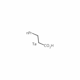 CCCCCC(=O)O.[Ta]